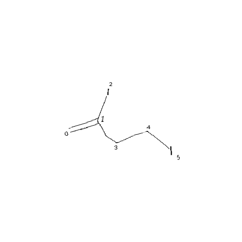 C=C(I)CCI